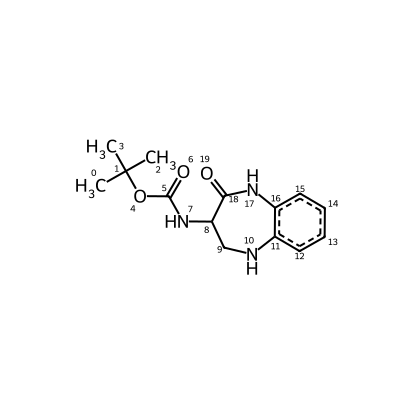 CC(C)(C)OC(=O)NC1CNc2ccccc2NC1=O